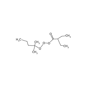 CCCC(C)(C)OOOC(=O)C(CC)CC